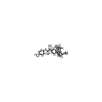 COc1ccc(CC(=O)Nc2ccc(-n3cc(C#N)cn3)c(S(=O)(=O)N(C)C)c2)cc1